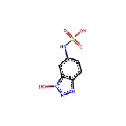 O=S(=O)(O)Nc1ccc2nnn(O)c2c1